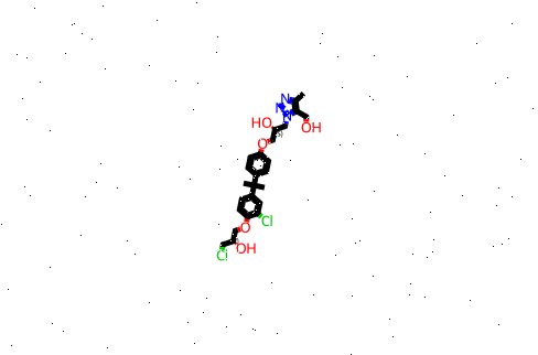 Cc1nnn(C[C@H](O)COc2ccc(C(C)(C)c3ccc(OC[C@@H](O)CCl)c(Cl)c3)cc2)c1CO